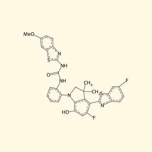 COc1ccc2nc(NC(=O)Nc3ccccc3N3CC(C)(C)c4c(-c5nc6ccc(F)cc6s5)c(F)cc(O)c43)sc2c1